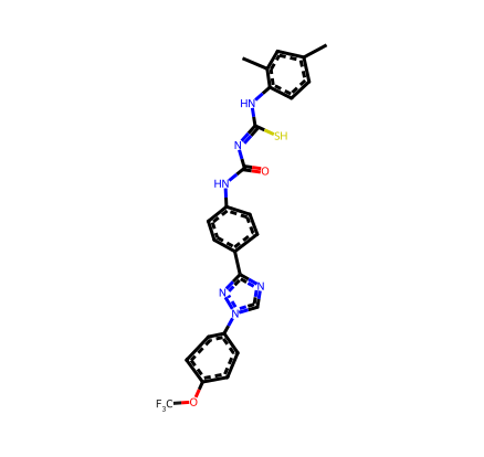 Cc1ccc(N/C(S)=N/C(=O)Nc2ccc(-c3ncn(-c4ccc(OC(F)(F)F)cc4)n3)cc2)c(C)c1